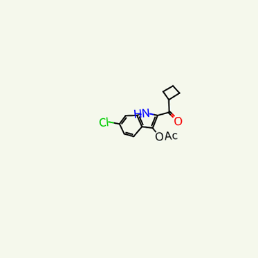 CC(=O)Oc1c(C(=O)C2CCC2)[nH]c2cc(Cl)ccc12